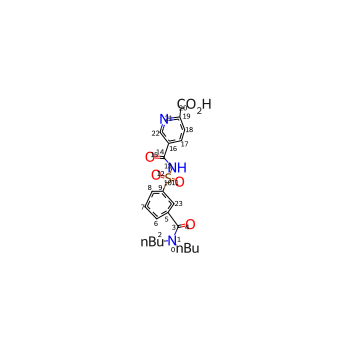 CCCCN(CCCC)C(=O)c1cccc(S(=O)(=O)NC(=O)c2ccc(C(=O)O)nc2)c1